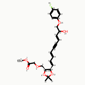 CC(C)(C)OC(=O)COC[C@@H]1OC(C)(C)O[C@@H]1C=CC=CC#CC=CC(O)COc1ccc(F)cc1